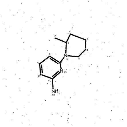 CC1CCCCN1c1cccc(N)n1